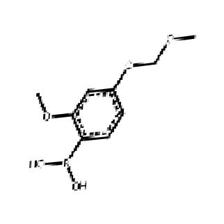 COCOc1ccc(B(O)O)c(OC)c1